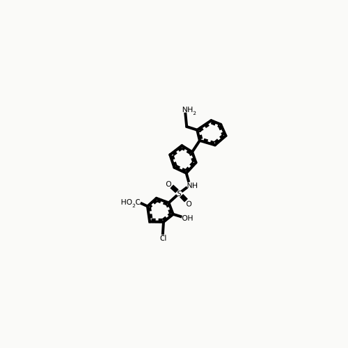 NCc1ccccc1-c1cccc(NS(=O)(=O)c2cc(C(=O)O)cc(Cl)c2O)c1